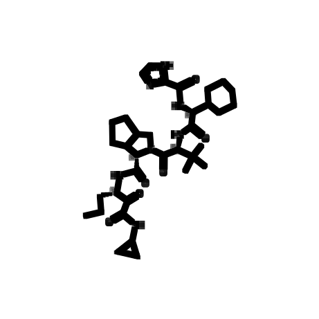 CCC[C@H](NC(=O)[C@@H]1C2CCCC2CN1C(=O)[C@@H](NC(=O)[C@@H](NC(=O)c1ncc[nH]1)C1CCCCC1)C(C)(C)C)C(=O)C(=O)NC1CC1